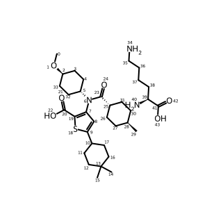 CO[C@H]1CC[C@H](N(c2cc(C3CCC(C)(C)CC3)sc2C(=O)O)C(=O)[C@H]2CC[C@H](C)CC2)CC1.NCCCC[C@H](N)C(=O)O